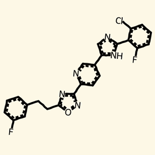 Fc1cccc(CCc2nc(-c3ccc(-c4cnc(-c5c(F)cccc5Cl)[nH]4)cn3)no2)c1